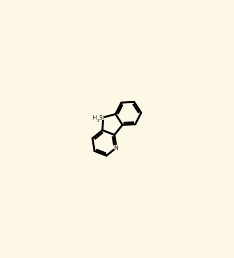 c1ccc2c(c1)[SiH2]c1cccnc1-2